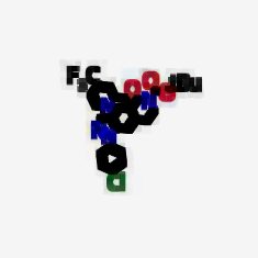 CC(C)(C)OC(=O)N1CCC2=Cc3c(cnn3-c3ccc(Cl)cc3)C[C@]2(C(=O)c2cc(C(F)(F)F)ccn2)C1